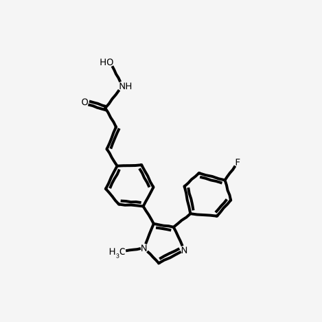 Cn1cnc(-c2ccc(F)cc2)c1-c1ccc(C=CC(=O)NO)cc1